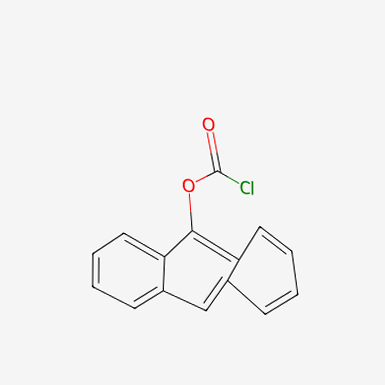 O=C(Cl)Oc1c2ccccc2cc2ccccc12